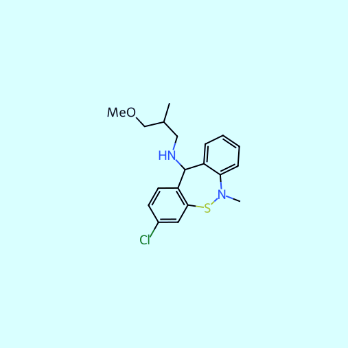 COCC(C)CNC1c2ccc(Cl)cc2SN(C)c2ccccc21